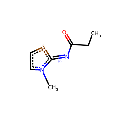 CCC(=O)/N=c1\sccn1C